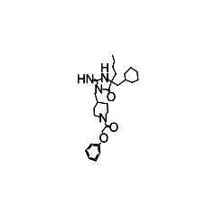 CCCCC1(CC2CCCCC2)NC(=N)N(CC2CCN(C(=O)COc3ccccc3)CC2)C1=O